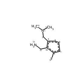 CN(C)Cc1cccc(F)c1CN